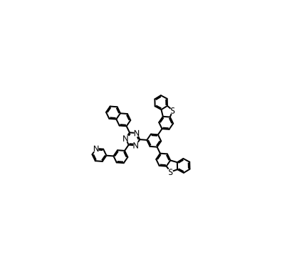 c1cncc(-c2cccc(-c3nc(-c4cc(-c5ccc6sc7ccccc7c6c5)cc(-c5ccc6sc7ccccc7c6c5)c4)nc(-c4ccc5ccccc5c4)n3)c2)c1